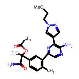 COCCn1cc(-c2nc(-c3cc(C(OC(=O)C(F)(F)F)(C(N)=O)C(F)(F)F)ccc3C)cnc2N)cn1